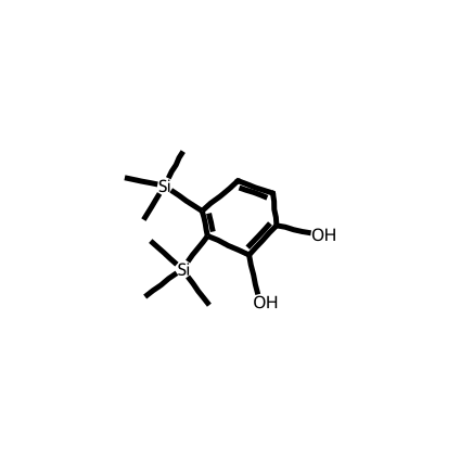 C[Si](C)(C)c1ccc(O)c(O)c1[Si](C)(C)C